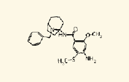 COc1cc(N)c(SC)cc1C(=O)NC12CCCC(CC1)N2Cc1ccccc1